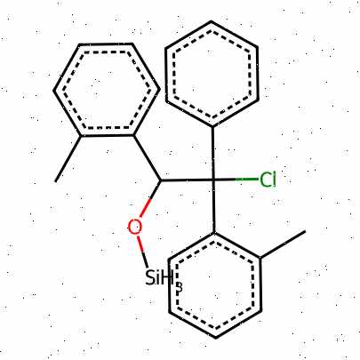 Cc1ccccc1C(O[SiH3])C(Cl)(c1ccccc1)c1ccccc1C